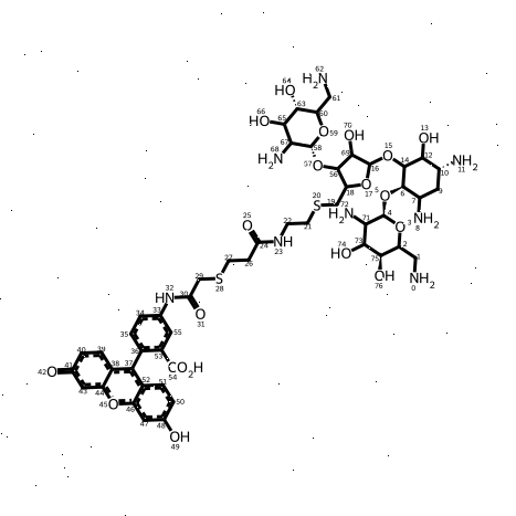 NCC1O[C@H](O[C@@H]2C(N)C[C@@H](N)C(O)C2OC2OC(CSCCNC(=O)CCSCC(=O)Nc3ccc(-c4c5ccc(=O)cc-5oc5cc(O)ccc45)c(C(=O)O)c3)C(O[C@H]3OC(CN)[C@@H](O)C(O)C3N)C2O)C(N)C(O)[C@@H]1O